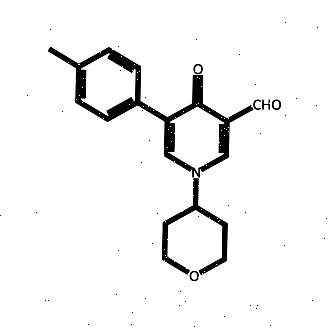 Cc1ccc(-c2cn(C3CCOCC3)cc(C=O)c2=O)cc1